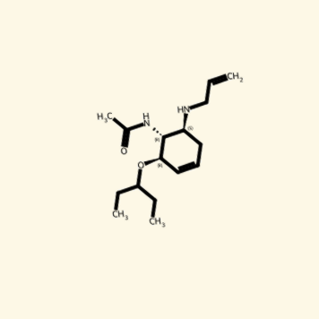 C=CCN[C@H]1CC=C[C@@H](OC(CC)CC)[C@@H]1NC(C)=O